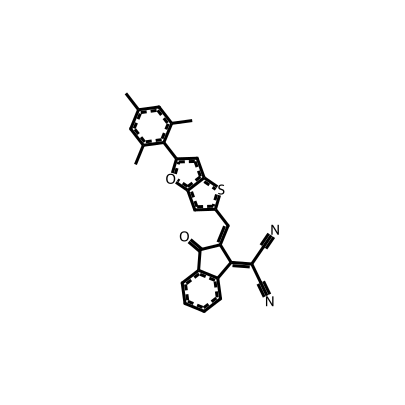 Cc1cc(C)c(-c2cc3sc(/C=C4\C(=O)c5ccccc5C4=C(C#N)C#N)cc3o2)c(C)c1